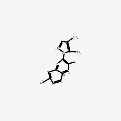 Nc1cnn(-c2nc3cc(Cl)ccc3nc2Cl)c1N